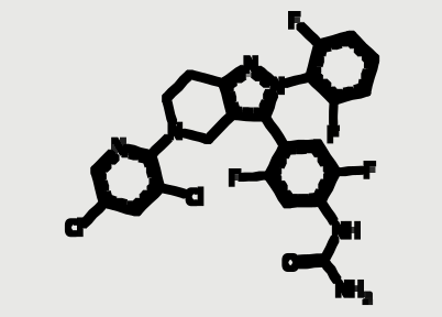 NC(=O)Nc1cc(F)c(-c2c3c(nn2-c2c(F)cccc2F)CCN(c2ncc(Cl)cc2Cl)C3)cc1F